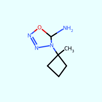 CC1(N2N=NOC2N)CCC1